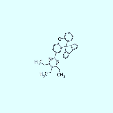 CCc1nc(-c2ccc3c(c2)C2(c4ccccc4O3)c3ccccc3-c3ccccc32)nc(CC)c1CC